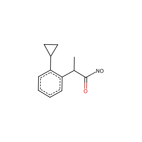 CC(C(=O)N=O)c1ccccc1C1CC1